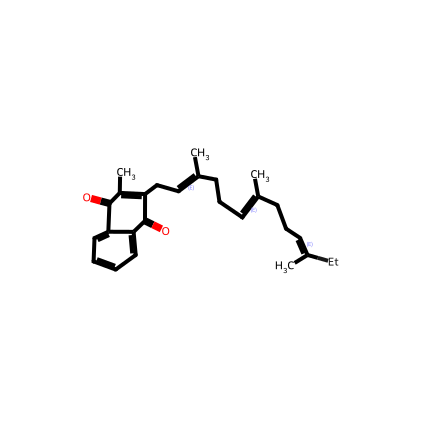 CC/C(C)=C/CC/C(C)=C/CC/C(C)=C/CC1=C(C)C(=O)c2ccccc2C1=O